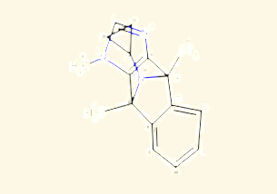 Cn1cnc2c1C1(C)c3ccccc3C2(C)N1C1CC1